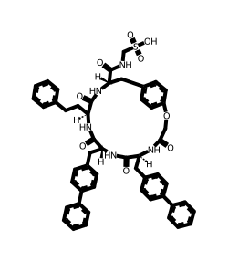 O=C1COc2ccc(cc2)C[C@@H](C(=O)NCS(=O)(=O)O)NC(=O)[C@H](CCc2ccccc2)NC(=O)[C@@H](Cc2ccc(-c3ccccc3)cc2)NC(=O)[C@H](Cc2ccc(-c3ccccc3)cc2)N1